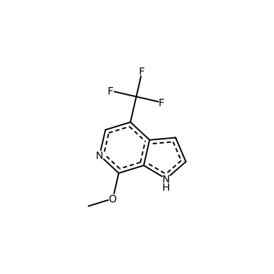 COc1ncc(C(F)(F)F)c2cc[nH]c12